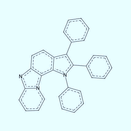 c1ccc(-c2c(-c3ccccc3)n(-c3ccccc3)c3c2ccc2nc4ccccn4c23)cc1